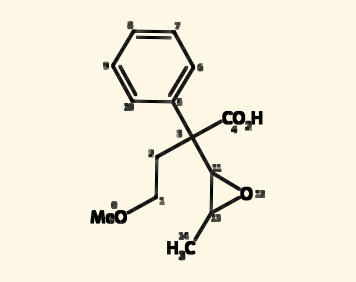 COCCC(C(=O)O)(c1ccccc1)C1OC1C